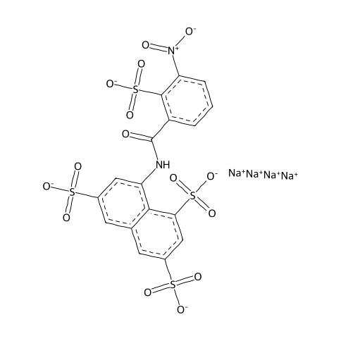 O=C(Nc1cc(S(=O)(=O)[O-])cc2cc(S(=O)(=O)[O-])cc(S(=O)(=O)[O-])c12)c1cccc([N+](=O)[O-])c1S(=O)(=O)[O-].[Na+].[Na+].[Na+].[Na+]